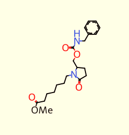 COC(=O)CCCCCCN1C(=O)CCC1COC(=O)NCc1ccccc1